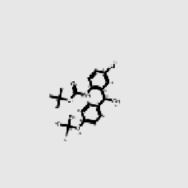 CC(C)(C)OC(=O)Nc1ccc(Cl)cc1C(O)c1ccc(OC(F)(F)F)cc1